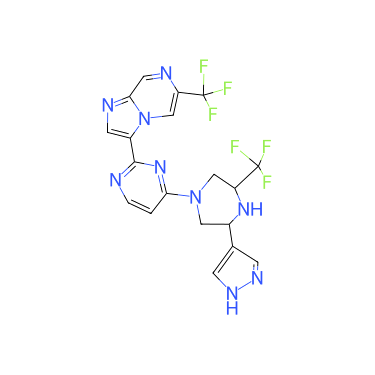 FC(F)(F)c1cn2c(-c3nccc(N4CC(c5cn[nH]c5)NC(C(F)(F)F)C4)n3)cnc2cn1